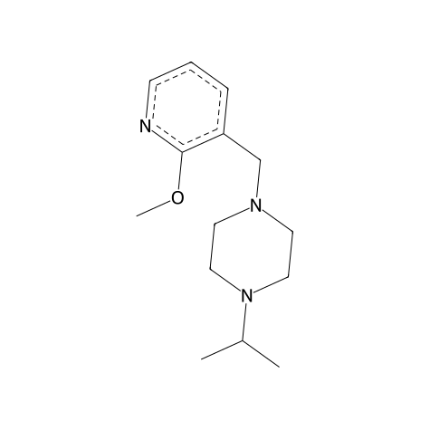 COc1ncccc1CN1CCN(C(C)C)CC1